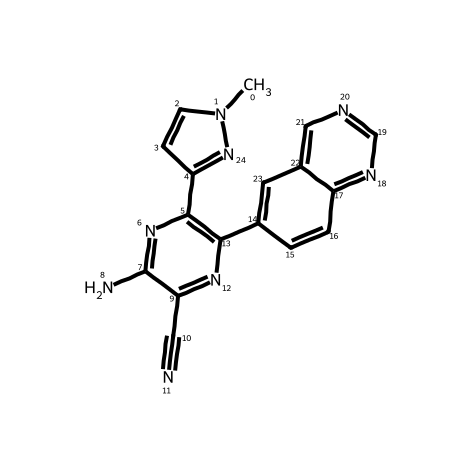 Cn1ccc(-c2nc(N)c(C#N)nc2-c2ccc3ncncc3c2)n1